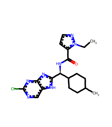 CCn1nccc1C(=O)N[C@H](c1nc2nc(Cl)ncc2[nH]1)C1CCC(C)CC1